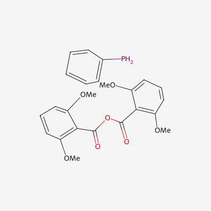 COc1cccc(OC)c1C(=O)OC(=O)c1c(OC)cccc1OC.Pc1ccccc1